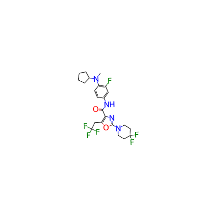 CN(c1ccc(NC(=O)c2nc(N3CCC(F)(F)CC3)oc2CC(F)(F)F)cc1F)C1CCCC1